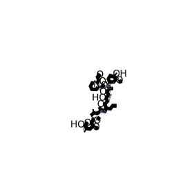 C=CCC(/C=C(\C)C[C@H](C)C[C@H](OC)[C@H]1O[C@H](O)[C@H](C)C[C@@H]1OC)C(=O)C[C@H](O)[C@@H](C)[C@H](OC(=O)[C@@H]1CCCCN1C(=O)C=O)/C(C)=C/[C@@H]1CC[C@@H](O)[C@H](OC)C1